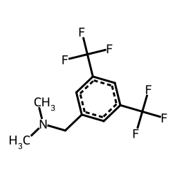 CN(C)Cc1cc(C(F)(F)F)cc(C(F)(F)F)c1